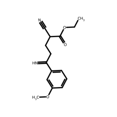 CCOC(=O)C(C#N)CCC(=N)c1cccc(OC)c1